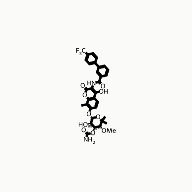 CO[C@@H]1[C@@H](OC(N)=O)[C@@H](O)[C@H](Oc2ccc3c(O)c(NC(=O)c4cccc(-c5ccc(C(F)(F)F)cc5)c4)c(=O)oc3c2C)OC1(C)C